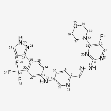 Fc1cnc(N/N=C/c2ccc(Nc3ccc(-c4cc[nH]n4)c(C(F)(F)F)c3)cn2)nc1N1CCOCC1